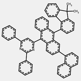 CC1(C)c2ccccc2-c2c(-c3c4ccccc4c(-c4cc(-c5ccccc5)nc(-c5ccccc5)n4)c4ccc(-c5cccc6ccccc56)cc34)cccc21